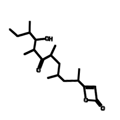 CCC(C)C(O)C(C)C(=O)C(C)CC(C)CC(C)C1=CC(=O)O1